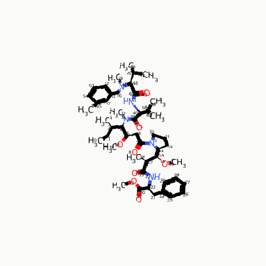 CC[C@H](C)[C@@H]([C@@H](CC(=O)N1CCC[C@H]1[C@H](OC)[C@@H](C)C(=O)N[C@@H](Cc1ccccc1)C(=O)OC)OC)N(C)C(=O)[C@@H](NC(=O)[C@H](C(C)C)N(C)Cc1cccc(C)c1)C(C)C